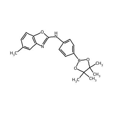 Cc1ccc2oc(Nc3ccc(B4OC(C)(C)C(C)(C)O4)cc3)nc2c1